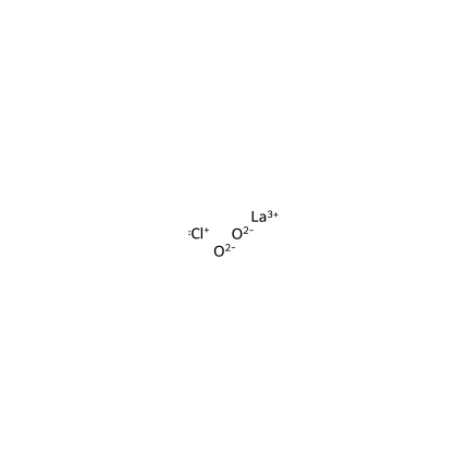 [Cl+].[La+3].[O-2].[O-2]